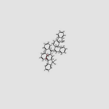 CC1(C)c2ccccc2-c2ccc(N(c3ccccc3-c3ccccc3)c3cc4ccccc4c4c3ccc3c5ccccc5[se]c34)cc21